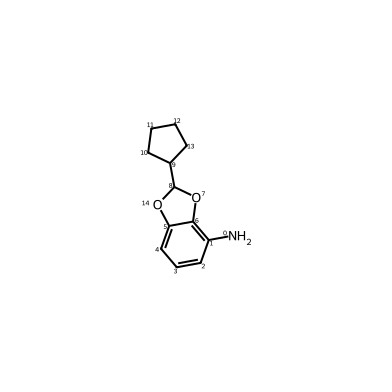 Nc1cccc2c1OC(C1CCCC1)O2